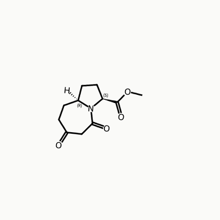 COC(=O)[C@@H]1CC[C@@H]2CCC(=O)CC(=O)N21